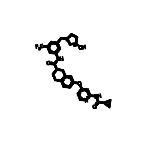 O=C(Nc1cc(CN2CC[C@H](O)C2)cc(C(F)(F)F)c1)C1CCc2ccc(Oc3ccnc(NC(=O)C4CC4)c3)cc2C1